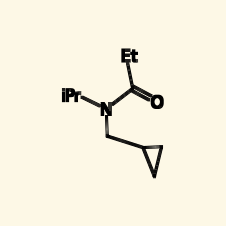 CCC(=O)N(CC1CC1)C(C)C